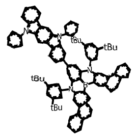 CC(C)(C)c1cc(N2c3cc4c(ccc5ccccc54)cc3B3c4cc5ccc6ccccc6c5cc4N(c4cc(C(C)(C)C)cc(C(C)(C)C)c4)c4cc(-c5ccc6c7cc8c(cc7n(-c7ccccc7)c6c5)c5ccccc5n8-c5ccccc5)cc2c43)cc(C(C)(C)C)c1